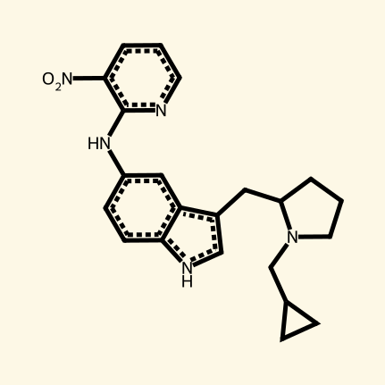 O=[N+]([O-])c1cccnc1Nc1ccc2[nH]cc(CC3CCCN3CC3CC3)c2c1